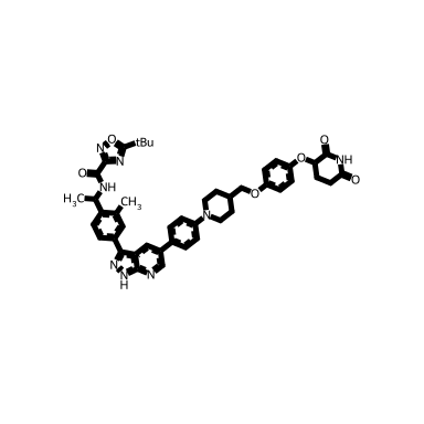 Cc1cc(-c2n[nH]c3ncc(-c4ccc(N5CCC(COc6ccc(OC7CCC(=O)NC7=O)cc6)CC5)cc4)cc23)ccc1C(C)NC(=O)c1noc(C(C)(C)C)n1